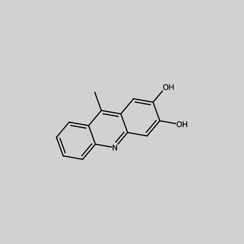 Cc1c2ccccc2nc2cc(O)c(O)cc12